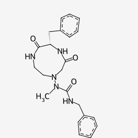 CN(C(=O)NCc1ccccc1)N1CCNC(=O)[C@H](Cc2ccccc2)NC(=O)C1